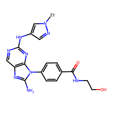 CCn1cc(Nc2ncc3nc(N)n(-c4ccc(C(=O)NCCO)cc4)c3n2)cn1